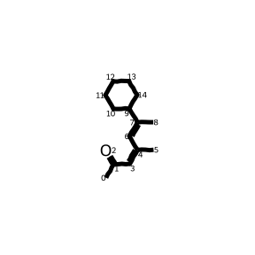 CC(=O)/C=C(C)\C=C(/C)C1CCCCC1